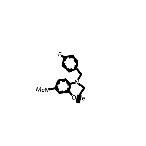 C#CCN(Cc1ccc(F)cc1)c1ccc(NC)cc1OC